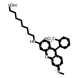 CCCCCCCCCCCCCCCCCCNc1ccc2c(-c3ccccc3C(=O)O)c3cc/c(=N\C)cc-3oc2c1